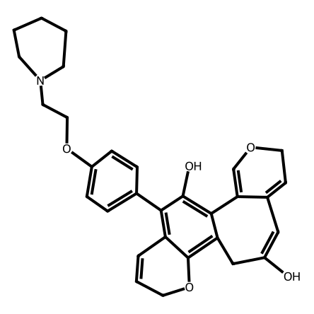 OC1=CC2=CCOC=C2c2c(O)c(-c3ccc(OCCN4CCCCC4)cc3)c3c(c2C1)OCC=C3